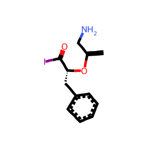 C=C(CN)O[C@H](Cc1ccccc1)C(=O)I